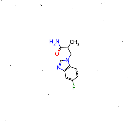 CC(Cn1cnc2cc(F)ccc21)C(N)=O